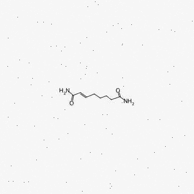 NC(=O)/C=C/CCCCC(N)=O